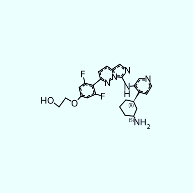 N[C@H]1CCC[C@@H](c2ccncc2Nc2ncc3ccc(-c4c(F)cc(OCCO)cc4F)nn23)C1